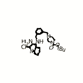 CC(C)(C)OC(=O)N1CCN(Cc2cccc(CNc3c(N)c(Cl)nc4ccccc34)c2)CC1